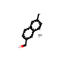 Cc1ccc2cc(C=O)ccc2c1.[KH]